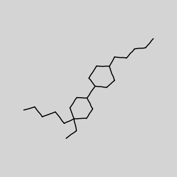 CCCCCC1CCC(C2CCC(CC)(CCCCC)CC2)CC1